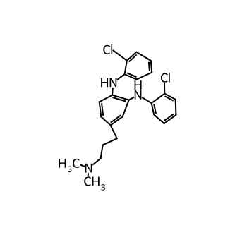 CN(C)CCCc1ccc(Nc2ccccc2Cl)c(Nc2ccccc2Cl)c1